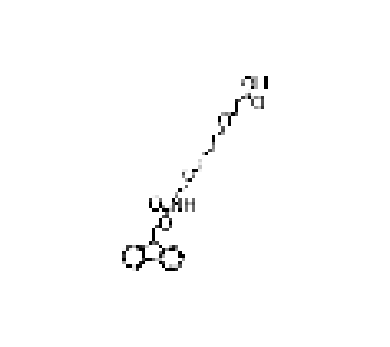 O=C(O)CCOCCCCCOCCNC(=O)OCC1c2ccccc2-c2ccccc21